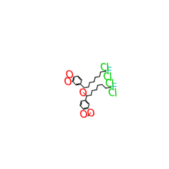 FC(Cl)(Cl)CCCCCCC(OC(CCCCCCC(F)(Cl)Cl)c1ccc2c(c1)OCO2)c1ccc2c(c1)OCO2